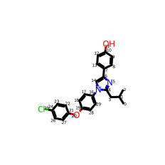 CC(C)Cc1nc(-c2ccc(O)cc2)cn1-c1ccc(Oc2ccc(Cl)cc2)cc1